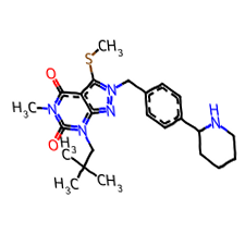 CSc1c2c(=O)n(C)c(=O)n(CC(C)(C)C)c2nn1Cc1ccc(C2CCCCN2)cc1